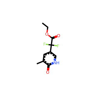 CCOC(=O)C(F)(F)c1c[nH]c(=O)c(C)c1